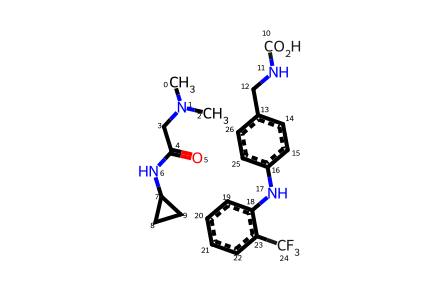 CN(C)CC(=O)NC1CC1.O=C(O)NCc1ccc(Nc2ccccc2C(F)(F)F)cc1